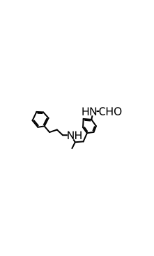 CC(Cc1ccc(NC=O)cc1)NCCCc1ccccc1